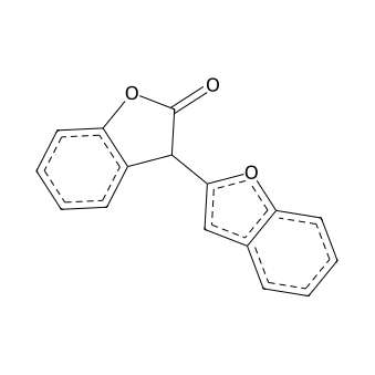 O=C1Oc2ccccc2C1c1cc2ccccc2o1